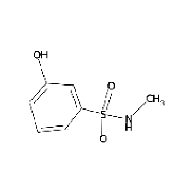 CNS(=O)(=O)c1[c]ccc(O)c1